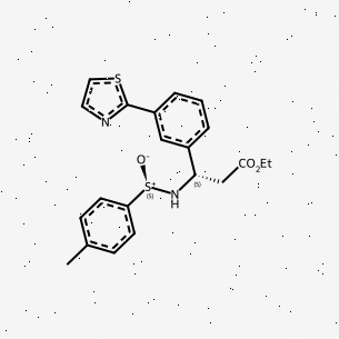 CCOC(=O)C[C@H](N[S@+]([O-])c1ccc(C)cc1)c1cccc(-c2nccs2)c1